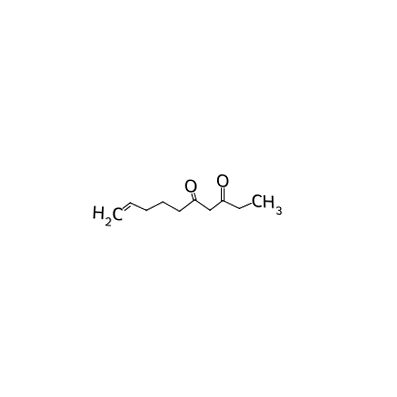 C=CCCCC(=O)CC(=O)CC